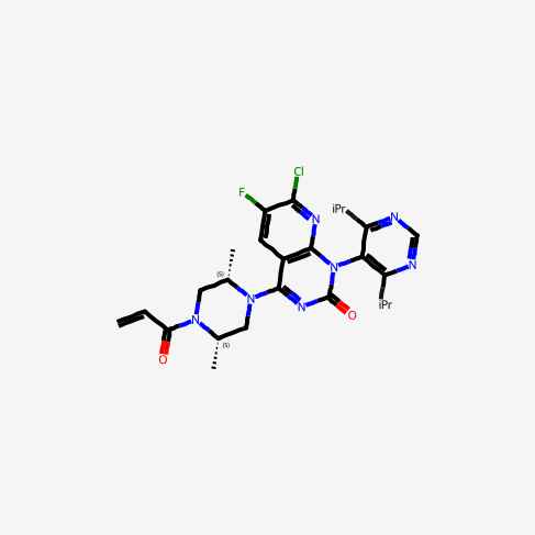 C=CC(=O)N1C[C@H](C)N(c2nc(=O)n(-c3c(C(C)C)ncnc3C(C)C)c3nc(Cl)c(F)cc23)C[C@@H]1C